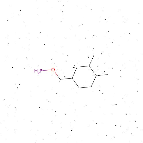 CC1CCC(COP)CC1C